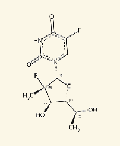 C[C@H](O)[C@H]1O[C@@H](n2cc(F)c(=O)[nH]c2=O)[C@@](C)(F)[C@@H]1O